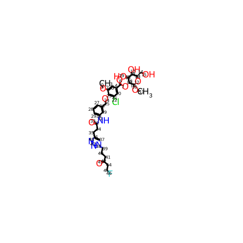 COc1cc(C(=O)O[C@@H]2[C@@H](OC)O[C@H](CO)[C@@H](O)[C@@H]2O)cc(Cl)c1OCc1cccc(NC(=O)CCc2cn(CCCC(=O)CCF)nn2)c1